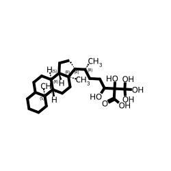 C[C@H](CCC(O)C(O)(C(=O)O)C(O)(O)O)[C@H]1CC[C@H]2[C@@H]3CCC4CCCC[C@]4(C)[C@H]3CC[C@]12C